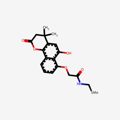 CSCNC(=O)COc1cccc2c3c(cc(O)c12)C(C)(C)CC(=O)O3